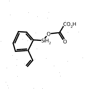 C=Cc1ccccc1[SiH2]OC(=O)C(=O)O